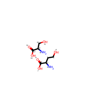 NC(CCO)C(=O)O.NC(CO)C(=O)O